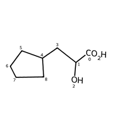 O=C(O)C(O)CC1CCCC1